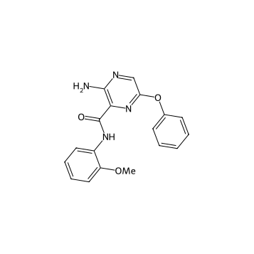 COc1ccccc1NC(=O)c1nc(Oc2ccccc2)cnc1N